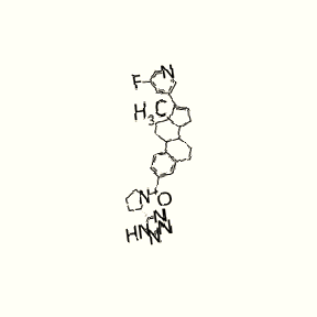 CC12CCC3c4ccc(C(=O)N5CCC[C@H]5c5nnn[nH]5)cc4CCC3C1CC=C2c1cncc(F)c1